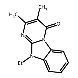 CCn1c2ccccc2n2c(=O)c(C)c(C)nc12